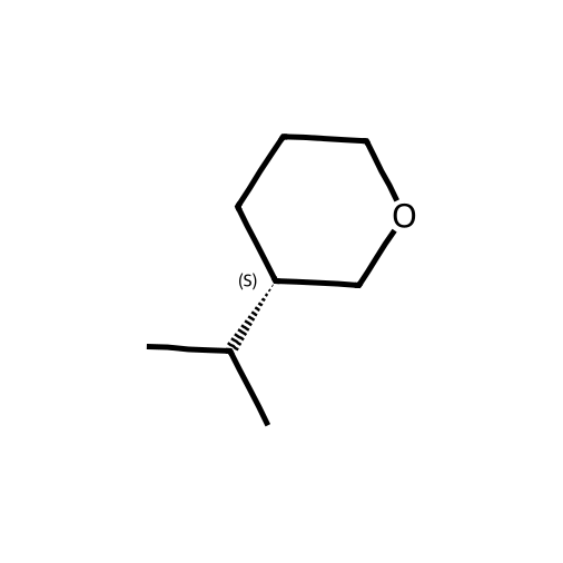 CC(C)[C@@H]1CCCOC1